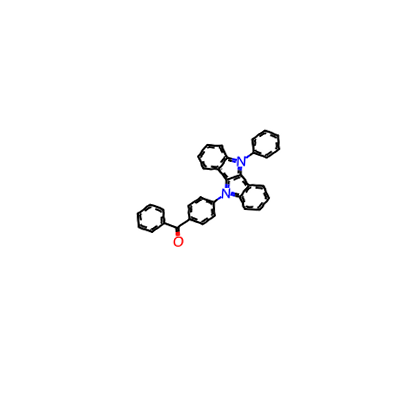 O=C(c1ccccc1)c1ccc(-n2c3ccccc3c3c2c2ccccc2n3-c2ccccc2)cc1